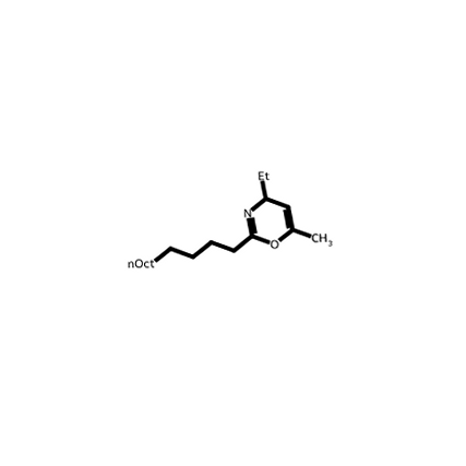 CCCCCCCCCCCCC1=NC(CC)C=C(C)O1